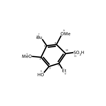 CCc1c(O)c(OC)c(C(C)CC)c(OC)c1S(=O)(=O)O